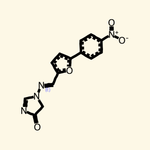 O=C1CN(/N=C/c2ccc(-c3ccc([N+](=O)[O-])cc3)o2)C=N1